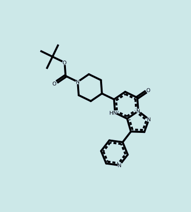 CC(C)(C)OC(=O)N1CCC(c2cc(=O)n3ncc(-c4cccnc4)c3[nH]2)CC1